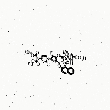 CC(NP(=O)(O)OOc1c(OC[C@H]2S[C@@H](n3ccc(N(C(=O)OC(C)(C)C)C(=O)OC(C)(C)C)nc3=O)[C@@H](F)[C@@H]2OC(=O)OC(C)(C)C)ccc2ccccc12)C(=O)O